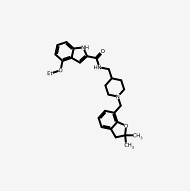 CCOc1cccc2[nH]c(C(=O)NCC3CCN(Cc4cccc5c4OC(C)(C)C5)CC3)cc12